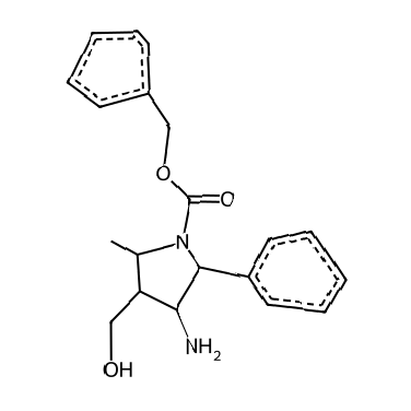 CC1C(CO)C(N)C(c2ccccc2)N1C(=O)OCc1ccccc1